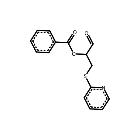 O=CC(CSc1ccccn1)OC(=O)c1ccccc1